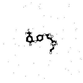 O=CCn1nnc(-c2cc(OC3CCC(Oc4cc(C(F)(F)F)ccc4Br)CC3)no2)n1